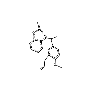 C=CCc1cc(N(C)c2cc(=O)oc3ccccc23)ccc1OC